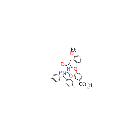 CCOc1ccccc1CC1C(=O)N(C(=O)NC(c2ccc(C)cc2)c2ccc(C)cc2)C1Oc1ccc(C(=O)O)cc1